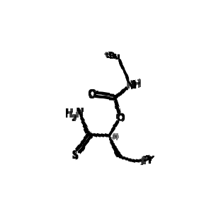 CC(C)C[C@H](OC(=O)NC(C)(C)C)C(N)=S